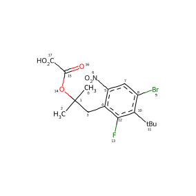 CC(C)(Cc1c([N+](=O)[O-])cc(Br)c(C(C)(C)C)c1F)OC(=O)C(=O)O